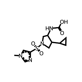 Cn1cnc(S(=O)(=O)N2CC(NC(=O)O)C(C3CC3)C2)c1